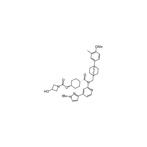 COc1ccc(C23CCC(CN(c4cc(-c5ccn(C(C)(C)C)n5)ccn4)C(=O)[C@H]4CC[C@H](OC(=O)N5CC(O)C5)CC4)(CC2)CC3)cc1C